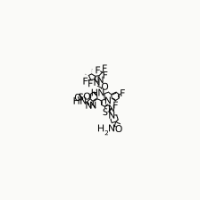 C[C@@H]1c2c(C(F)(F)F)nn(CC(=O)NC(Cc3cc(F)cc(F)c3)c3nc4nc(N5CCC(C)(C(N)=O)CC5)sc4cc3-c3cccc4c(NS(C)(=O)=O)nn(C)c34)c2C(F)(F)[C@@H]1C